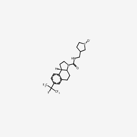 O=C(NCC1CC[S+]([O-])C1)N1CC[C@H]2c3ccc(C(F)(C(F)(F)F)C(F)(F)F)cc3CCC21